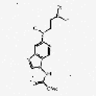 CCN(CC)CC[S+]([O-])c1ccc2c(c1)ncn2NC(=O)OC